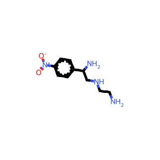 NCCNCC(N)c1ccc([N+](=O)[O-])cc1